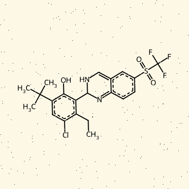 CCc1c(Cl)cc(C(C)(C)C)c(O)c1C1N=c2ccc(S(=O)(=O)C(F)(F)F)cc2=CN1